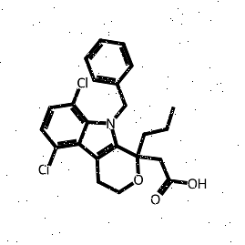 CCCC1(CC(=O)O)OCCc2c1n(Cc1ccccc1)c1c(Cl)ccc(Cl)c21